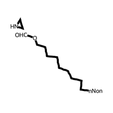 C1CN1.CCCCCCCCCCCCCCCCCCOC=O